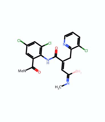 BC(/C=C(\Cc1ncccc1Cl)C(=O)Nc1c(Cl)cc(Cl)cc1C(=O)NC)=N/C